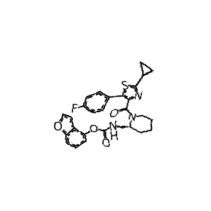 O=C(NC[C@@H]1CCCCN1C(=O)c1nc(C2CC2)sc1-c1ccc(F)cc1)Oc1cccc2occc12